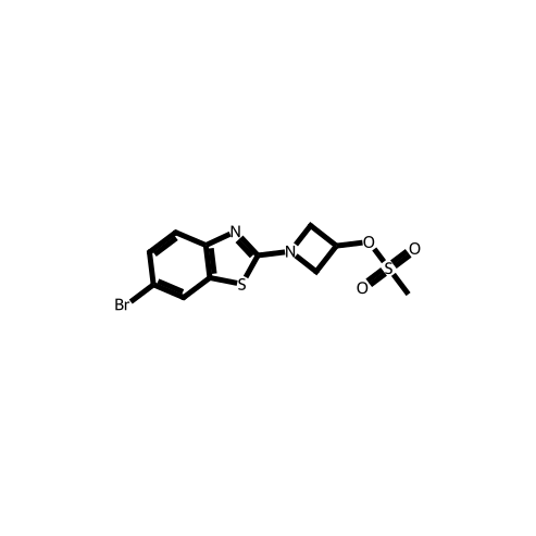 CS(=O)(=O)OC1CN(c2nc3ccc(Br)cc3s2)C1